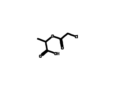 CC(OC(=O)CCl)C(=O)O